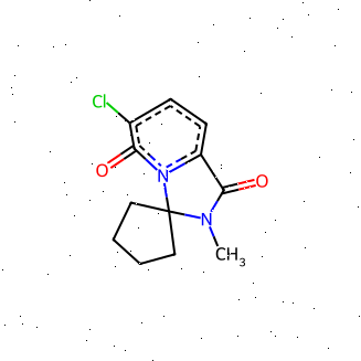 CN1C(=O)c2ccc(Cl)c(=O)n2C12CCCC2